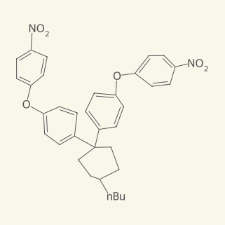 CCCCC1CCC(c2ccc(Oc3ccc([N+](=O)[O-])cc3)cc2)(c2ccc(Oc3ccc([N+](=O)[O-])cc3)cc2)CC1